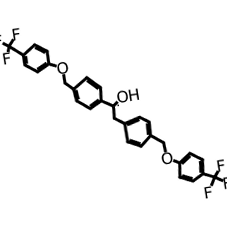 O[C](Cc1ccc(COc2ccc(C(F)(F)F)cc2)cc1)c1ccc(COc2ccc(C(F)(F)F)cc2)cc1